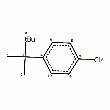 CC(C)(C)C(C)(C)c1ccc(Cl)cc1